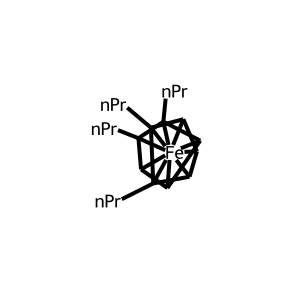 CCC[C]12[CH]3[CH]4[CH]5[C]1(CCC)[Fe]43521678[CH]2[CH]1[C]6(CCC)[C]7(CCC)[CH]28